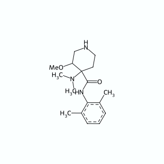 COC1CNCCC1(C(=O)Nc1c(C)cccc1C)N(C)C